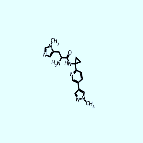 Cn1cc(-c2ccc(C3(NC(=O)C(N)Cc4cncn4C)CC3)nc2)cn1